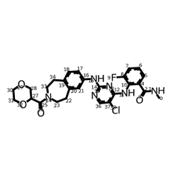 CNC(=O)c1cccc(F)c1Nc1nc(Nc2ccc3c(c2)CCN(C(=O)C2COCCO2)CC3)ncc1Cl